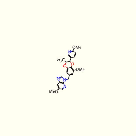 COc1cnc2c(c1)ncn2Cc1cc(OC)c2c(c1)OC(C)C(c1ccc(OC)nc1)O2